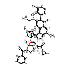 Cc1nc2c(F)c(-c3cccc(Cl)c3Cl)c(CCC#N)cc2c2c1cc([C@H]1C[C@H]3C[C@H](CN3C(=O)c3ccccc3)N1C(=O)C1CC1)n2[C@H]1[C@H]2CN[C@@H]1C2